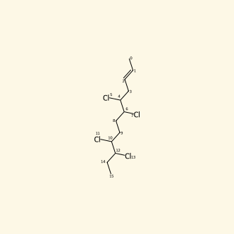 CC=CCC(Cl)C(Cl)CCC(Cl)C(Cl)CC